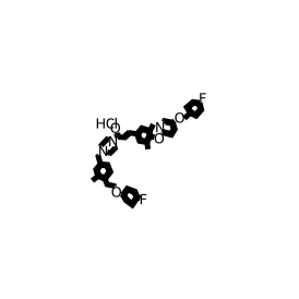 Cc1cc(CN2CCN(C(=O)C=Cc3cc(C)c(Oc4ccc(OCc5ccc(F)cc5)cn4)c(C)c3)CC2)ccc1CCOc1ccc(F)cc1.Cl